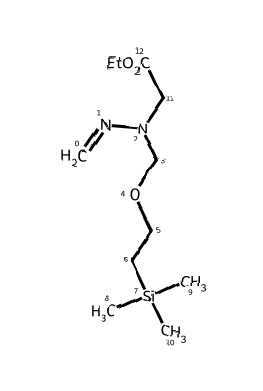 C=NN(COCC[Si](C)(C)C)CC(=O)OCC